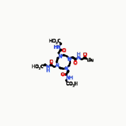 CC(C)(C)C(=O)CNC(=O)CN1CCN(CC(=O)NCC(=O)O)CCN(CC(=O)NCC(=O)O)CCN(CC(=O)NCC(=O)O)CC1